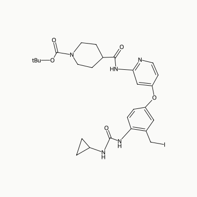 CC(C)(C)OC(=O)N1CCC(C(=O)Nc2cc(Oc3ccc(NC(=O)NC4CC4)c(CI)c3)ccn2)CC1